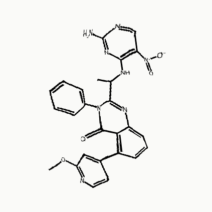 COc1cc(-c2cccc3nc(C(C)Nc4nc(N)ncc4[N+](=O)[O-])n(-c4ccccc4)c(=O)c23)ccn1